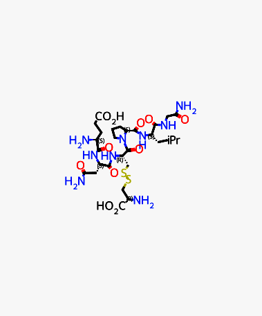 CC(C)C[C@H](NC(=O)[C@@H]1CCCN1C(=O)[C@H](CSSC[C@H](N)C(=O)O)NC(=O)[C@H](CC(N)=O)NC(=O)[C@@H](N)CCC(=O)O)C(=O)NCC(N)=O